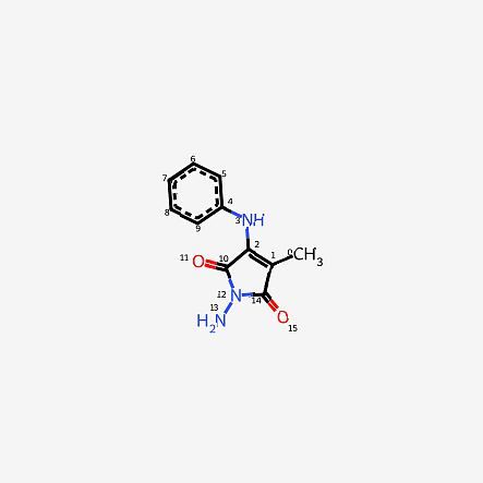 CC1=C(Nc2ccccc2)C(=O)N(N)C1=O